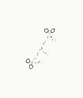 COC(=O)N(CCOCCOCC(COCCOCCN(C(=O)OC)C1c2ccccc2-c2ccccc21)OCC(=O)O)C1c2ccccc2-c2ccccc21